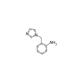 Nc1ccccc1Cn1[c]ncc1